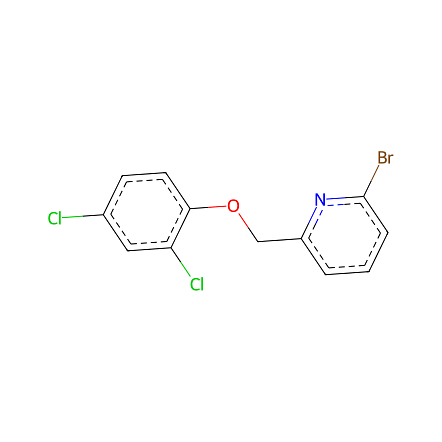 Clc1ccc(OCc2cccc(Br)n2)c(Cl)c1